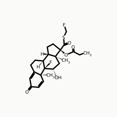 CCC(=O)O[C@]1(C(=O)SCF)CC[C@H]2[C@@H]3CCC4=CC(=O)C=C[C@]4(C)[C@@]3(F)[C@@H](O)C[C@@]21C